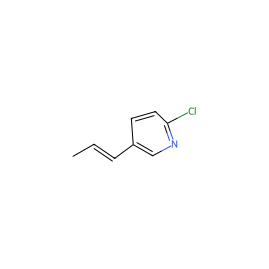 C/C=C/c1ccc(Cl)nc1